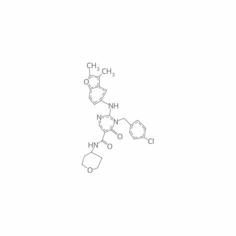 Cc1oc2ccc(Nc3ncc(C(=O)NC4CCOCC4)c(=O)n3Cc3ccc(Cl)cc3)cc2c1C